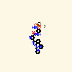 CS(=O)(=O)Nc1cccc(NC(=O)c2cncc(-c3nnc(NCc4ccccn4)c4c(-c5ccccc5)cccc34)c2)c1